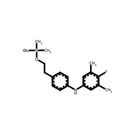 Cc1cc(Nc2ccc(CCO[Si](C)(C)C(C)(C)C)cc2)cc(C)c1F